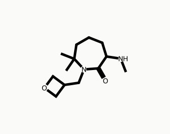 CNC1CCCC(C)(C)N(CC2COC2)C1=O